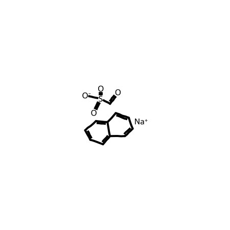 O=CS(=O)(=O)[O-].[Na+].c1ccc2ccccc2c1